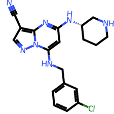 N#Cc1cnn2c(NCc3cccc(Cl)c3)cc(N[C@H]3CCCNC3)nc12